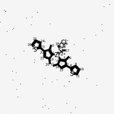 CC1=[C]([Zr+2]([C]2=C(C)C(c3cccs3)=CC2C)=[Si](C)C)C(C)C=C1c1cccs1.[Cl-].[Cl-]